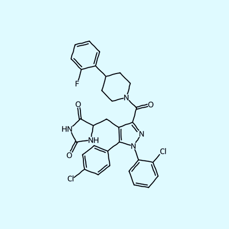 O=C1NC(=O)C(Cc2c(C(=O)N3CCC(c4ccccc4F)CC3)nn(-c3ccccc3Cl)c2-c2ccc(Cl)cc2)N1